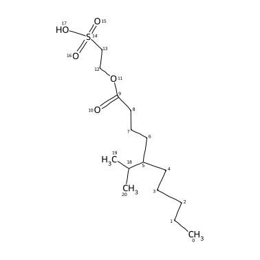 CCCCCC(CCCC(=O)OCCS(=O)(=O)O)C(C)C